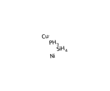 P.[Cu].[Ni].[SiH4]